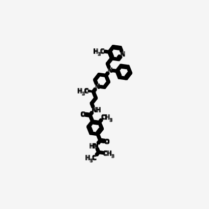 Cc1ccncc1CN(c1ccccc1)C1CCN([C@H](C)CCNC(=O)c2ccc(C(=O)NC(C)C)cc2C)CC1